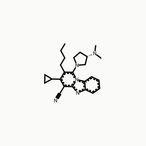 CCCCc1c(C2CC2)c(C#N)c2nc3ccccc3n2c1N1CC[C@H](N(C)C)C1